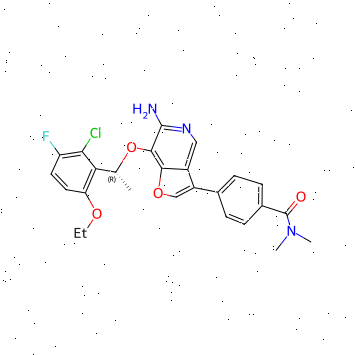 CCOc1ccc(F)c(Cl)c1[C@@H](C)Oc1c(N)ncc2c(-c3ccc(C(=O)N(C)C)cc3)coc12